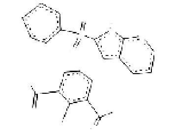 Cc1c(C(=O)O)cccc1C(=O)O.O=S(=O)(c1ccccc1)c1cc2cccnc2[nH]1